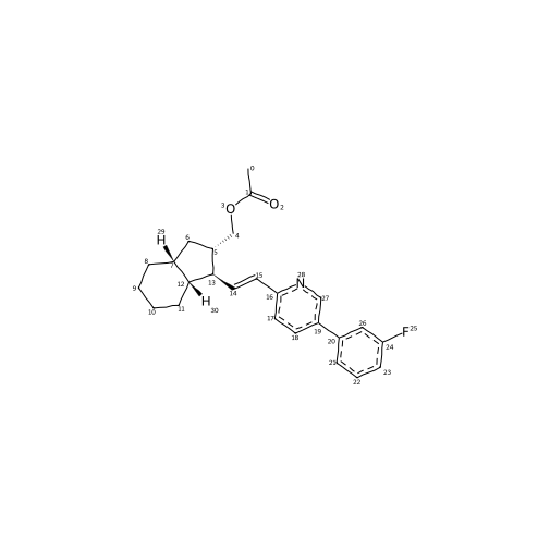 CC(=O)OC[C@H]1C[C@H]2CCCC[C@H]2[C@@H]1/C=C/c1ccc(-c2cccc(F)c2)cn1